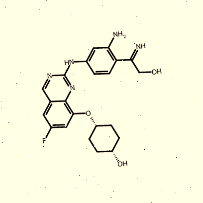 N=C(CO)c1ccc(Nc2ncc3cc(F)cc(O[C@H]4CC[C@@H](O)CC4)c3n2)cc1N